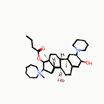 Br.CCCC(=O)OC1C([N+]2(C)CCCCCC2)C[C@H]2[C@@H]3CCC4CC(O)C(N5CCCCC5)C[C@]4(C)[C@@H]3CC[C@]12C